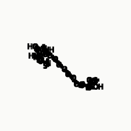 Cc1ccc(-c2ccc(OCCOCCOCCOCCOCCOCCOCC(=O)N[C@H](C(=O)N3C[C@H](O)C[C@H]3C(=O)N[C@@H](C)c3ccc(-c4scnc4C)cc3)C(C)(C)C)cc2)cc1C1=C(O)CC(C)(C)CC1=O